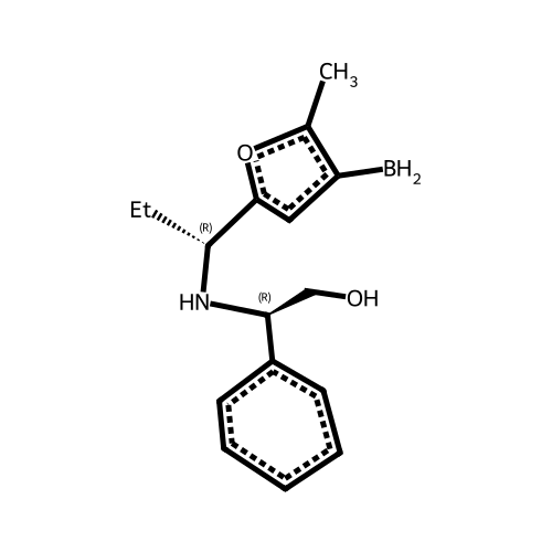 Bc1cc([C@@H](CC)N[C@@H](CO)c2ccccc2)oc1C